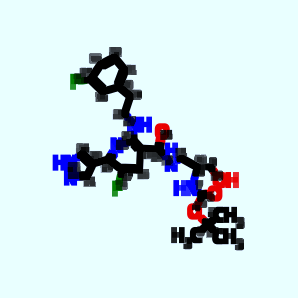 CC(C)(C)OC(=O)N[C@H](CO)CNC(=O)c1cc(F)c(-c2cn[nH]c2)nc1NCCc1cccc(F)c1